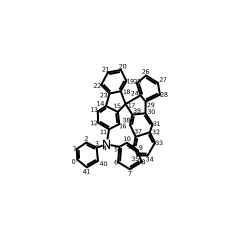 c1ccc(N(c2ccccc2)c2ccc3c(c2)C2(c4ccccc4-3)c3ccccc3-c3cc4ccccc4cc32)cc1